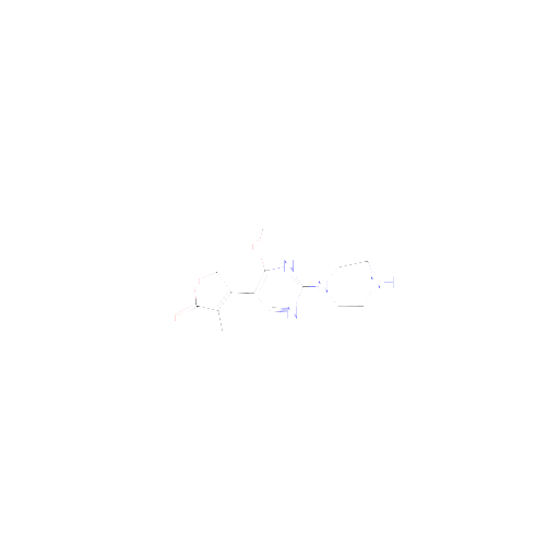 COc1nc(N2CCNCC2)ncc1C1=C(C)C(=O)OC1